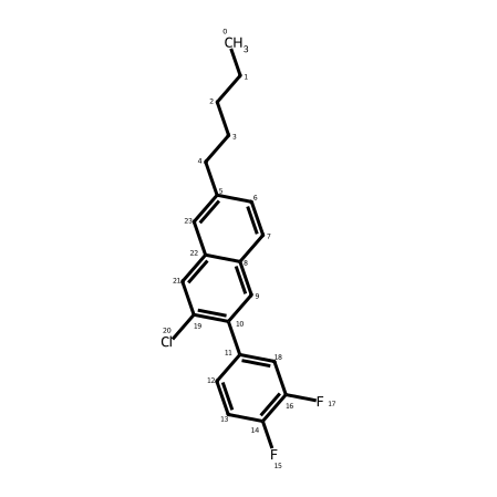 CCCCCc1ccc2cc(-c3ccc(F)c(F)c3)c(Cl)cc2c1